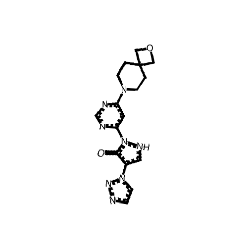 O=c1c(-n2ccnn2)c[nH]n1-c1cc(N2CCC3(CC2)COC3)ncn1